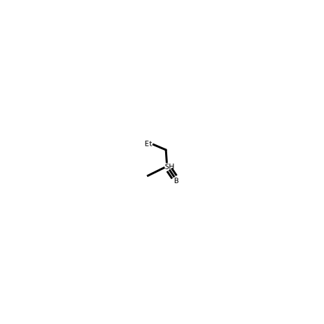 B#[SH](C)CCC